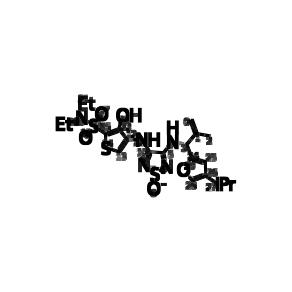 C=C(C)[C@@H](Nc1n[s+]([O-])nc1Nc1csc(S(=O)(=O)N(CC)CC)c1O)c1cc(C(C)C)co1